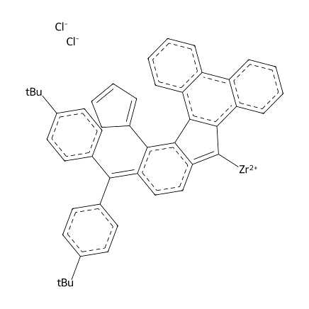 CC(C)(C)c1ccc(C(c2ccc(C(C)(C)C)cc2)=c2ccc3c(c2C2=CC=CC2)-c2c(c4ccccc4c4ccccc24)[C]=3[Zr+2])cc1.[Cl-].[Cl-]